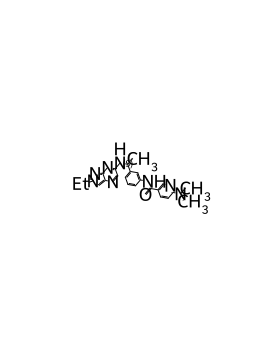 CCn1cc2ncc(N[C@@H](C)c3cccc(NC(=O)c4ccc(N(C)C)nc4)c3)nc2n1